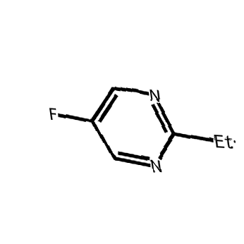 C[CH]c1ncc(F)cn1